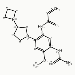 C=CC(=O)Nc1cc(NC(=N)N)c(OC)cc1N1CCC(N2CCC2)C1